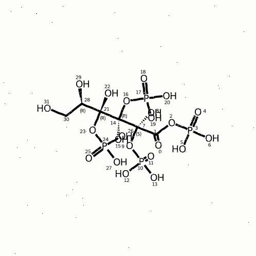 O=C(OP(=O)(O)O)[C@@](O)(OP(=O)(O)O)[C@](O)(OP(=O)(O)O)[C@](O)(OP(=O)(O)O)[C@H](O)CO